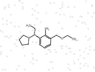 CCOCc1[c]ccc(N(CC)N2CCCC2)c1C